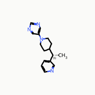 C[C@H](c1cccnc1)C1CCN(c2cncnc2)CC1